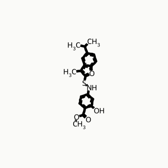 COC(=O)c1ccc(NSc2oc3ccc(C(C)C)cc3c2C)cc1O